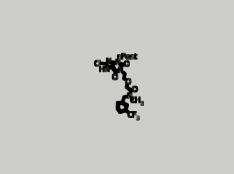 CCCCCn1c(=O)n(CCOCC(=O)N(C)Cc2cccc(C(F)(F)F)c2)c(=O)c2[nH]c(Cl)nc21